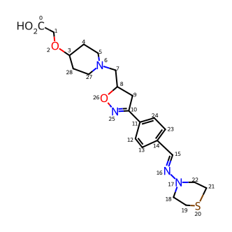 O=C(O)COC1CCN(CC2CC(c3ccc(C=NN4CCSCC4)cc3)=NO2)CC1